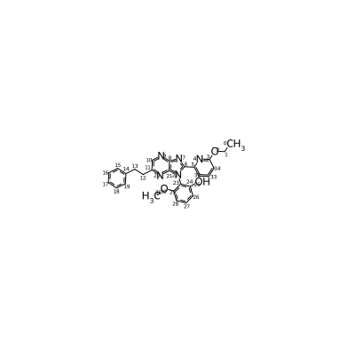 CCOC1=NC(c2nc3ncc(CCc4ccccc4)nc3n2-c2c(O)cccc2OC)=C=C=C1